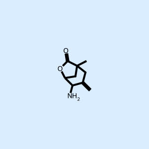 C=C1CC2(C)CC(OC2=O)C1N